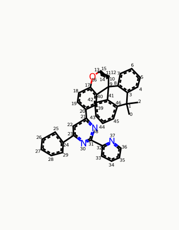 CC1(C)c2ccccc2C2(c3ccccc3Oc3ccc(-c4cc(-c5ccccc5)nc(-c5ccccn5)n4)cc32)c2ccccc21